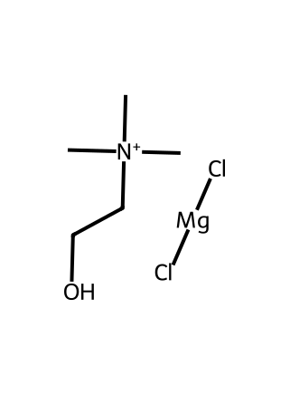 C[N+](C)(C)CCO.[Cl][Mg][Cl]